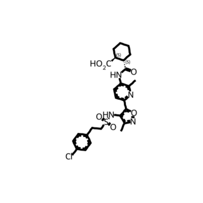 Cc1nc(-c2onc(C)c2NS(=O)(=O)CCc2ccc(Cl)cc2)ccc1NC(=O)[C@H]1CCCC[C@@H]1C(=O)O